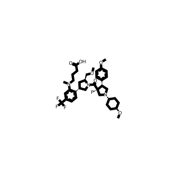 COC[C@@H]1C[C@@H](c2ccc(C(F)(F)F)cc2N(C)CCCC(=O)O)CN1C(=O)[C@]1(F)CN([C@H]2CC[C@H](OC)CC2)C[C@H]1c1ccc(OC)cc1